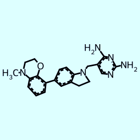 CN1CCOc2c(-c3ccc4c(c3)CCN4Cc3cnc(N)nc3N)cccc21